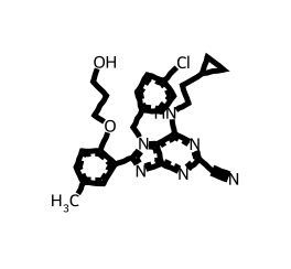 Cc1ccc(OCCCO)c(-c2nc3nc(C#N)nc(NCCC4CC4)c3n2Cc2ccc(Cl)cc2)c1